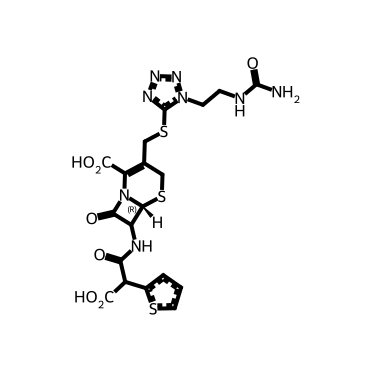 NC(=O)NCCn1nnnc1SCC1=C(C(=O)O)N2C(=O)C(NC(=O)C(C(=O)O)c3cccs3)[C@H]2SC1